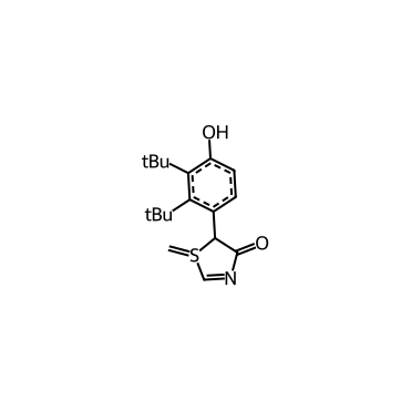 C=S1C=NC(=O)C1c1ccc(O)c(C(C)(C)C)c1C(C)(C)C